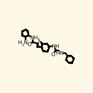 Nc1ccccc1NC(=O)c1cc2ccc(NC(=O)CNCc3ccccc3)cc2s1